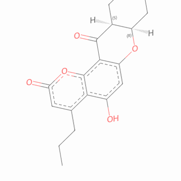 CCCc1cc(=O)oc2c3c(cc(O)c12)O[C@@H]1CCCC[C@@H]1C3=O